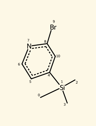 C[Si](C)(C)c1ccnc(Br)c1